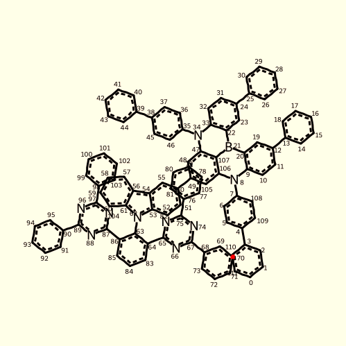 c1ccc(-c2ccc(N3c4ccc(-c5ccccc5)cc4B4c5cc(-c6ccccc6)ccc5N(c5ccc(-c6ccccc6)cc5)c5cc(-c6ccc7c(c6)c6ccccc6n7-c6c(-c7nc(-c8ccccc8)nc(-c8ccccc8)n7)cccc6-c6nc(-c7ccccc7)nc(-c7ccccc7)n6)cc3c54)cc2)cc1